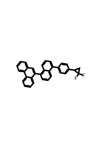 FC1(F)CC1c1ccc(-c2cccc3c(-c4cc5ccccc5c5ccccc45)cccc23)cc1